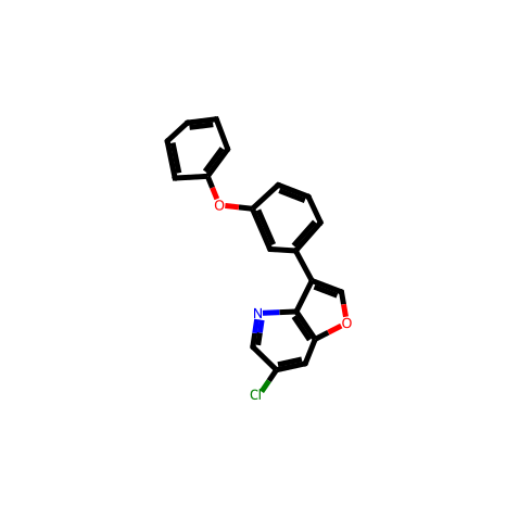 Clc1cnc2c(-c3cccc(Oc4ccccc4)c3)coc2c1